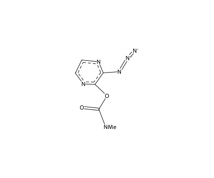 CNC(=O)Oc1nccnc1N=[N+]=[N-]